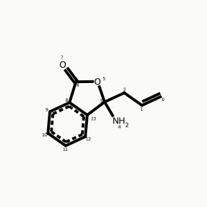 C=CCC1(N)OC(=O)c2ccccc21